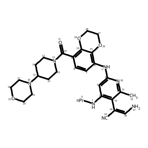 CCCNc1cc(Nc2ccc(C(=O)N3CCC(N4CCOCC4)CC3)c3c2OCCO3)nc(C)c1/C(C#N)=C\N